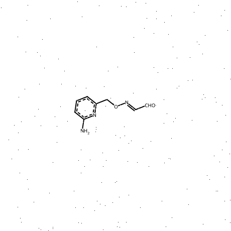 Nc1cccc(CON=C[C]=O)n1